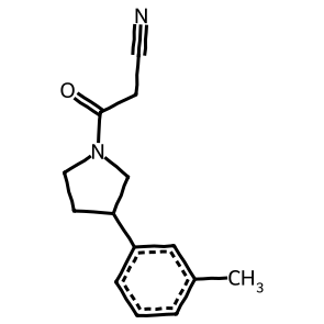 Cc1cccc(C2CCN(C(=O)CC#N)C2)c1